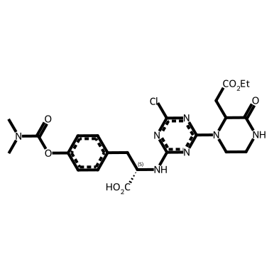 CCOC(=O)CC1C(=O)NCCN1c1nc(Cl)nc(N[C@@H](Cc2ccc(OC(=O)N(C)C)cc2)C(=O)O)n1